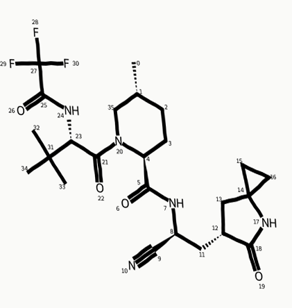 C[C@@H]1CC[C@@H](C(=O)N[C@H](C#N)C[C@@H]2CC3(CC3)NC2=O)N(C(=O)[C@@H](NC(=O)C(F)(F)F)C(C)(C)C)C1